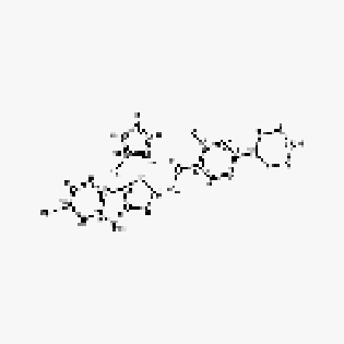 Cc1nc(N2CCNCC2)ccc1OC[C@@H]1CO[C@@](Cn2cncn2)(c2ccc(F)cc2F)C1